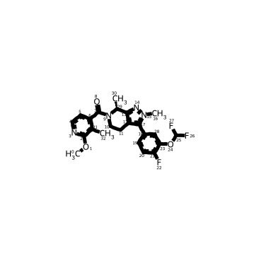 COc1nccc(C(=O)N2CCc3c(nn(C)c3-c3ccc(F)c(OC(F)F)c3)[C@@H]2C)c1C